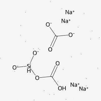 O=C(O)O[SiH]([O-])[O-].O=C([O-])[O-].[Na+].[Na+].[Na+].[Na+]